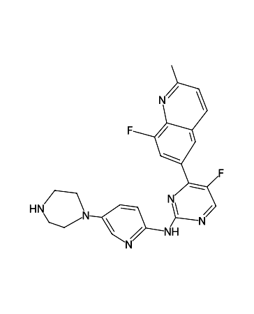 Cc1ccc2cc(-c3nc(Nc4ccc(N5CCNCC5)cn4)ncc3F)cc(F)c2n1